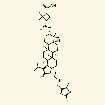 Cc1nc(C)c(CNCC[C@@]23CC[C@]4(C)[C@H](CC[C@@H]5[C@@]6(C)CC[C@H](OC(=O)[C@H]7C[C@@H](C(=O)O)C7(C)C)C(C)(C)[C@@H]6CC[C@]54C)C2=C(C(C)C)C(=O)C3)s1